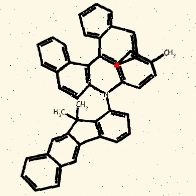 Cc1ccc(N(c2cccc3c2C(C)(C)c2cc4ccccc4cc2-3)c2ccc3ccccc3c2-c2cccc3ccccc23)cc1